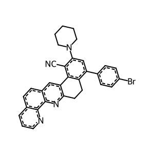 N#Cc1c(N2CCCCC2)cc(-c2ccc(Br)cc2)c2c1-c1cc3ccc4cccnc4c3nc1CC2